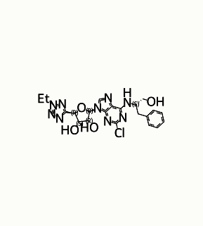 CCn1nnc([C@H]2O[C@@H](n3cnc4c(N[C@H](CO)Cc5ccccc5)nc(Cl)nc43)[C@H](O)[C@@H]2O)n1